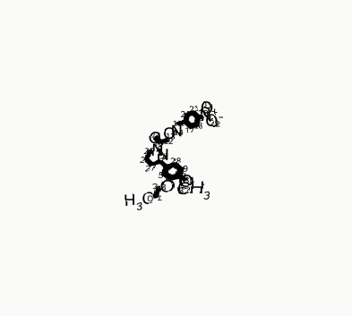 CCCOc1cc(C2=NN(C(=O)CON=Cc3ccc([N+](=O)[O-])cc3)CCC2)ccc1OC